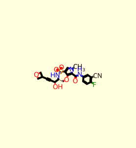 Cn1cc2c(c1C(=O)Nc1ccc(F)c(C#N)c1)OC[C@H]([C@@H](O)C#CC1COC1)NS2(=O)=O